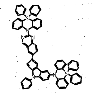 c1ccc(-n2c3ccc(-c4ccc5nc(N6c7ccccc7[Si](c7ccccc7)(c7ccccc7)c7ccccc76)ncc5c4)cc3c3cc(N4c5ccccc5[Si](c5ccccc5)(c5ccccc5)c5ccccc54)ccc32)cc1